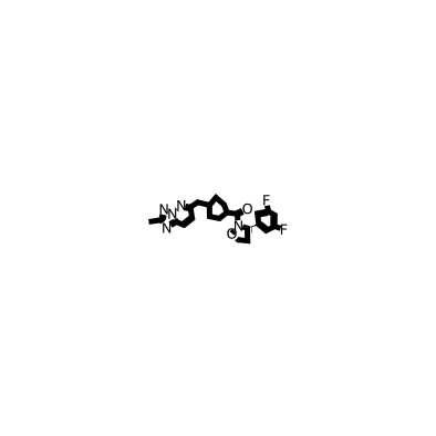 Cc1nc2ccc(CC3CCC(C(=O)N4OCC[C@H]4c4cc(F)cc(F)c4)CC3)nn2n1